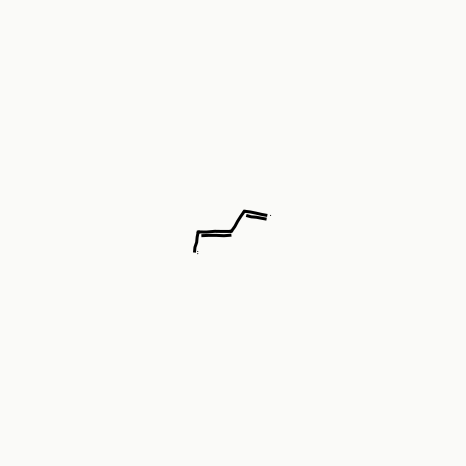 [CH]/C=C/C=[CH]